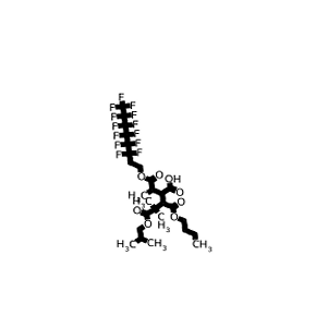 CCCCOC(=O)C(C(C(=O)O)C(C)C(=O)OCCC(F)(F)C(F)(F)C(F)(F)C(F)(F)C(F)(F)C(F)(F)F)C(C)(C)C(=O)OCC(C)C